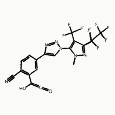 Cn1nc(C(F)(F)C(F)(F)F)c(C(F)(F)F)c1-n1cc(-c2ccc(C#N)c(C(O)=C=O)c2)nn1